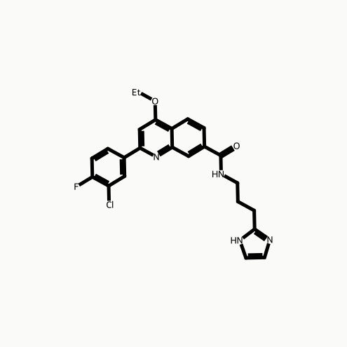 CCOc1cc(-c2ccc(F)c(Cl)c2)nc2cc(C(=O)NCCCc3ncc[nH]3)ccc12